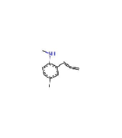 C=C=Cc1cc(C)ccc1NC